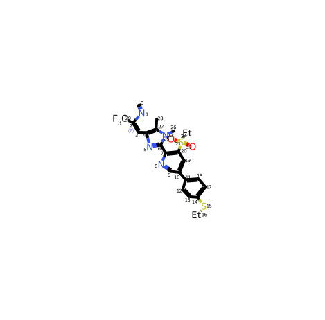 C=N/C(=C\c1nc(-c2ncc(-c3ccc(SCC)cc3)cc2S(=O)(=O)CC)n(C)c1C)C(F)(F)F